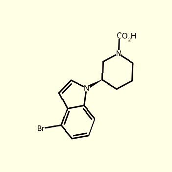 O=C(O)N1CCC[C@@H](n2ccc3c(Br)cccc32)C1